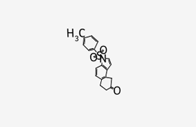 Cc1ccc(S(=O)(=O)n2ccc3c4c(ccc32)CCC(=O)C4)cc1